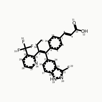 CCC(=C(c1ccc(C=CC(=O)O)cc1)c1ccc2[nH]nc(F)c2c1)c1ncccc1C(F)(F)F